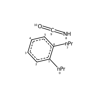 CCCc1ccccc1CCC.N=C=O